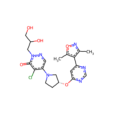 Cc1noc(C)c1-c1cc(O[C@@H]2CCN(c3cnn(CC(O)CO)c(=O)c3Cl)C2)ncn1